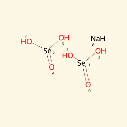 O=[Se](O)O.O=[Se](O)O.[NaH]